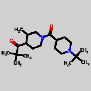 CC1CN(C(=O)C2CCN(C(C)(C)C)CC2)CCC1C(=O)C(C)(C)C